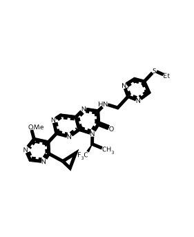 CCSc1cnc(CNc2nc3cnc(-c4c(OC)ncnc4C4CC4)nc3n([C@@H](C)C(F)(F)F)c2=O)nc1